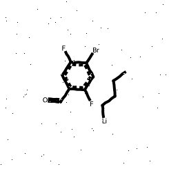 O=Cc1cc(F)c(Br)cc1F.[Li][CH2]CCC